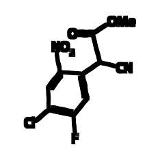 COC(=O)C(C#N)c1cc(F)c(Cl)cc1[N+](=O)[O-]